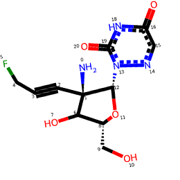 N[C@]1(C#CCF)C(O)[C@@H](CO)O[C@H]1n1ncc(=O)[nH]c1=O